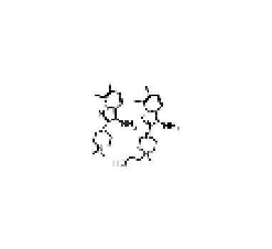 Cc1ccc2c(N)c(N3CC[N+](C)(C)CC3)nn2c1C.Cc1ccc2c(N)c(N3CC[N+](C)(CCO)CC3)nn2c1C